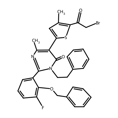 Cc1cc(-c2c(C)nc(-c3cccc(F)c3OCc3ccccc3)n(CCc3ccccc3)c2=O)sc1C(=O)CBr